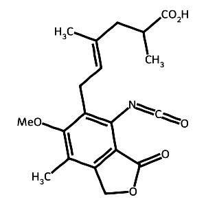 COc1c(C)c2c(c(N=C=O)c1C/C=C(\C)CC(C)C(=O)O)C(=O)OC2